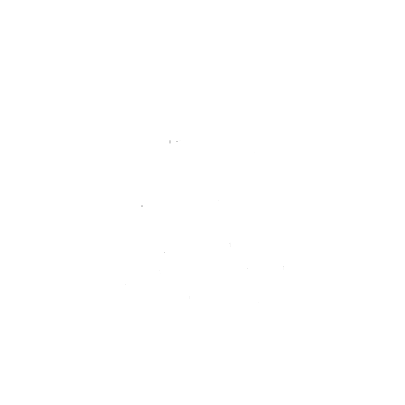 C=C(C)C(=O)OCC(C=Cc1ccccc1)OC(=O)C(=C)C.CCCCCCCCCCCCS